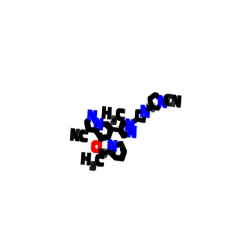 Cc1c(-c2cc(O[C@H](C)c3ccccn3)c3c(C#N)cnn3c2)cnn1C1CN([C@H]2CCN(C#N)C2)C1